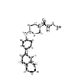 Cc1c(-c2ccc(OC3CCN(C(=O)NCC(C)C)CC3)cc2)cnc2ccccc12